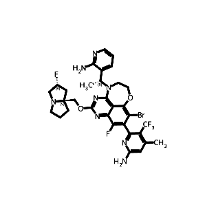 Cc1cc(N)nc(-c2c(Br)c3c4c(nc(OC[C@@]56CCCN5C[C@H](F)C6)nc4c2F)N([C@H](C)c2cccnc2N)CCO3)c1C(F)(F)F